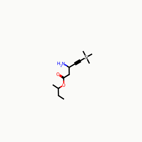 CCC(C)OC(=O)CC(N)C#C[Si](C)(C)C